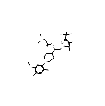 COc1cc(N2CCC(C(Cn3nc(C(F)(F)F)c(Cl)c3C)NC(=O)CN(C)C)CC2)c(Cl)cc1Cl